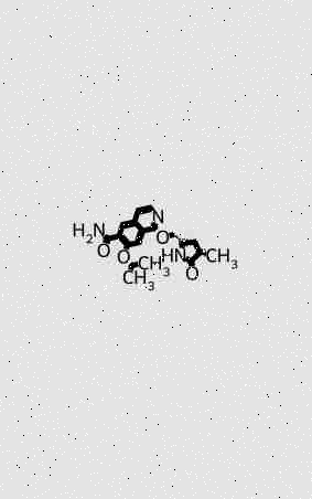 CC(C)Oc1cc2c(OC[C@@H]3C[C@@H](C)C(=O)N3)nccc2cc1C(N)=O